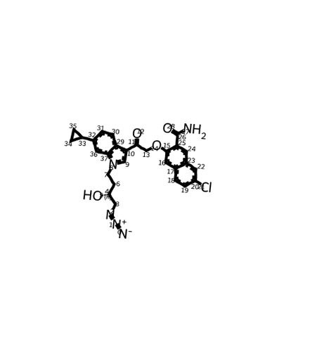 [N-]=[N+]=NC[C@H](O)CCn1cc(C(=O)COc2cc3ccc(Cl)cc3cc2C(N)=O)c2ccc(C3CC3)cc21